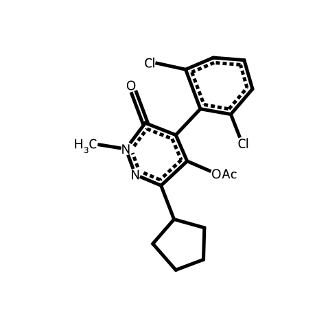 CC(=O)Oc1c(C2CCCC2)nn(C)c(=O)c1-c1c(Cl)cccc1Cl